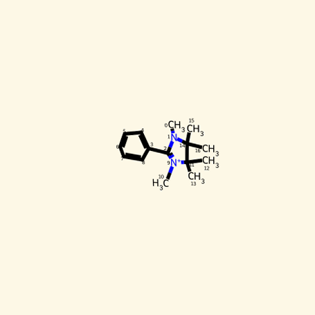 CN1C(c2ccccc2)=[N+](C)C(C)(C)C1(C)C